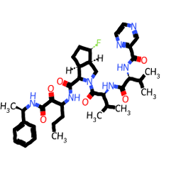 CCCC(NC(=O)C1[C@H]2CC[C@H](F)[C@H]2CN1C(=O)[C@@H](NC(=O)[C@H](NC(=O)c1cnccn1)C(C)C)C(C)C)C(=O)C(=O)N[C@H](C)c1ccccc1